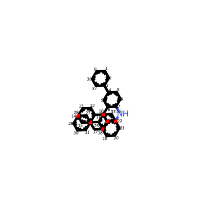 c1ccc(-c2ccc3c(c2)C24c5ccccc5C(c5ccccc52)c2c(-c5ccccc5)ccc(c24)N3)cc1